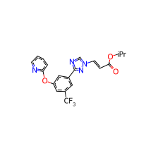 CC(C)OC(=O)C=Cn1cnc(-c2cc(Oc3ccccn3)cc(C(F)(F)F)c2)n1